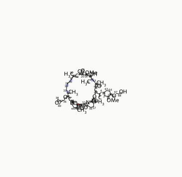 CO[C@@H]1C[C@H](CC(C)[C@@H]2CC(=O)[C@H](C)/C=C(\C)[C@@H](O)[C@@H](OC)C(=O)[C@H](C)C[C@H](C)/C=C/C=C/C=C(\C)[C@H](OCC3COC3)C[C@@H]3CC[C@@H](C)[C@@](O)(O3)C(=O)C(=O)N3CCCC[C@H]3C(=O)O2)CC[C@H]1OCCO